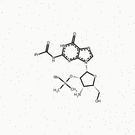 CC(C)C(=O)Nc1nc2c(ncn2[C@@H]2O[C@H](CO)[C@H](N)[C@@H]2O[Si](C)(C)C(C)(C)C)c(=O)[nH]1